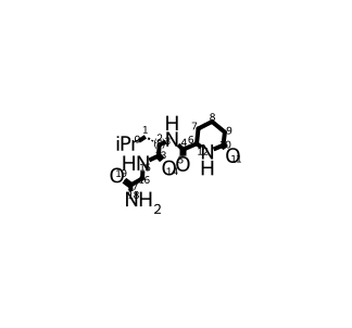 CC(C)C[C@H](NC(=O)C1CCCC(=O)N1)C(=O)NCC(N)=O